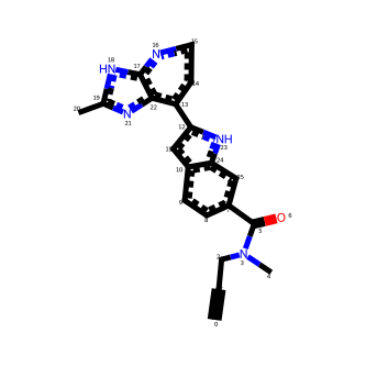 C#CCN(C)C(=O)c1ccc2cc(-c3ccnc4[nH]c(C)nc34)[nH]c2c1